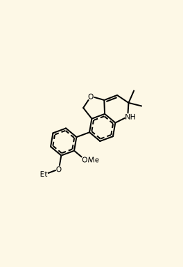 CCOc1cccc(-c2ccc3c4c2COC4=CC(C)(C)N3)c1OC